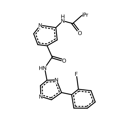 CC(C)C(=O)Nc1cc(C(=O)Nc2cncc(-c3ccccc3F)n2)ccn1